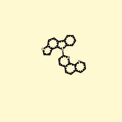 c1cnc2c(c1)ccc1ccc(-n3c4ccccc4c4ccc5occc5c43)nc12